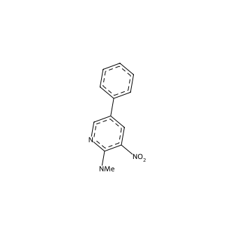 CNc1ncc(-c2ccccc2)cc1[N+](=O)[O-]